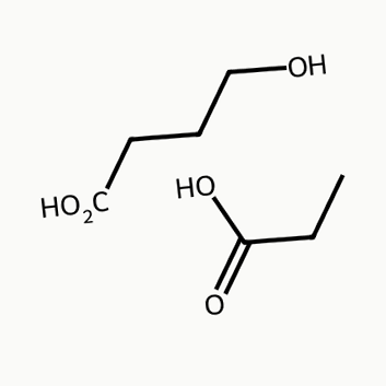 CCC(=O)O.O=C(O)CCCO